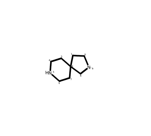 C1CC2(CCNCC2)C[N]1